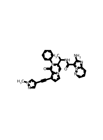 CC(NC(=O)c1c(N)nc2cccnn12)c1cn2ccc(C#Cc3cnn(C)c3)c2c(=O)n1-c1ccccc1